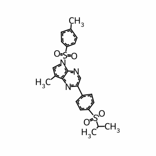 Cc1ccc(S(=O)(=O)n2cc(C)c3nc(-c4ccc(S(=O)(=O)C(C)C)cc4)cnc32)cc1